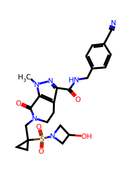 Cn1nc(C(=O)NCc2ccc(C#N)cc2)c2c1C(=O)N(CC1(S(=O)(=O)N3CC(O)C3)CC1)CC2